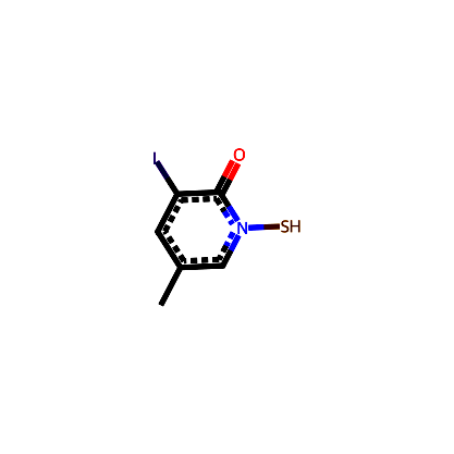 Cc1cc(I)c(=O)n(S)c1